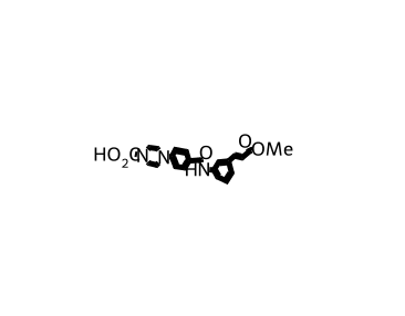 COC(=O)C=Cc1cccc(NC(=O)c2ccc(N3CCN(C(=O)O)CC3)cc2)c1